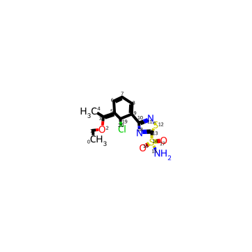 CCOC(C)=C1C=CC=C(c2nsc(S(N)(=O)=O)n2)C1Cl